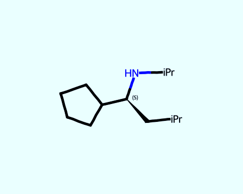 CC(C)C[C@H](NC(C)C)C1CCCC1